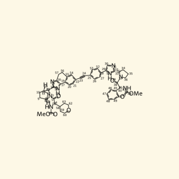 COC(=O)N[C@H](C(=O)N1[C@@H]2CC[C@@H](C2)[C@H]1c1nc2c([nH]1)-c1ccc(C#Cc3ccc(-c4cnc([C@@H]5CCCN5C(=O)[C@H](NC(=O)OC)c5ccccc5)[nH]4)cc3)cc1CC2)C1CCOCC1